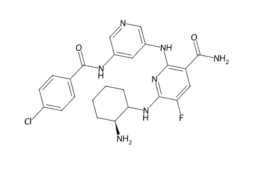 NC(=O)c1cc(F)c(NC2CCCC[C@@H]2N)nc1Nc1cncc(NC(=O)c2ccc(Cl)cc2)c1